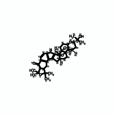 CC1(C)OC(C)(C)C2C(=O)c3ccc4[nH]c5c(c4c3CC21)C[C@@H]1CC[C@]2(O)[C@](C)(CCC3O[C@H](C(C)(C)O)C[C@H]4O[C@@]342)[C@@]51C